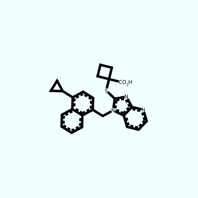 O=C(O)C1(Sc2nc3ncccc3n2Cc2ccc(C3CC3)c3ccccc23)CCC1